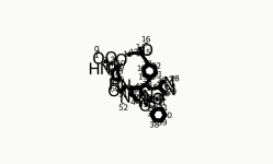 COC(=O)N[C@H]1C[C@H]2C[C@H]1OCCC(C)(OC)c1ccc(cc1)-c1c(-c3cn(C)nc3F)n(S(=O)(=O)c3ccccc3)c3ncc4c(c13)n2c(=O)n4C